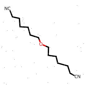 N#CCCCCCCOCCCCCCC#N